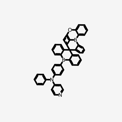 c1ccc(N(c2ccncc2)c2ccc(B3c4ccccc4C4(c5ccccc53)c3ccccc3B3c5ccccc5Oc5cccc4c53)cc2)cc1